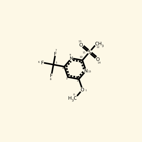 COc1cc(C(F)(F)F)nc(S(C)(=O)=O)n1